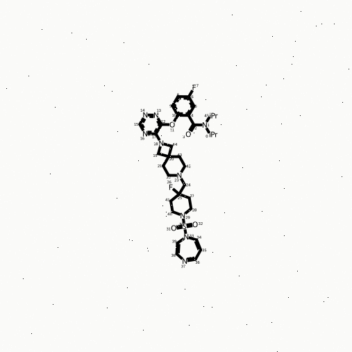 CC(C)N(C(=O)c1cc(F)ccc1Oc1nncnc1N1CC2(CCN(CC3(F)CCN(S(=O)(=O)N4C=CC=NC=C4)CC3)CC2)C1)C(C)C